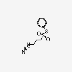 [N-]=[N+]=NCCCS(=O)(=O)Oc1ccccc1